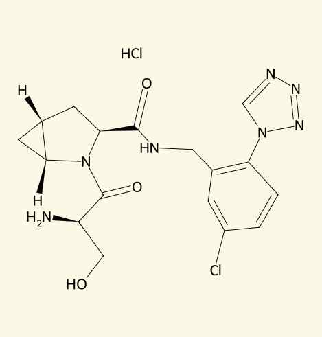 Cl.N[C@H](CO)C(=O)N1[C@@H]2C[C@@H]2C[C@H]1C(=O)NCc1cc(Cl)ccc1-n1cnnn1